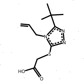 C=CCn1c(SCC(=O)O)nnc1C(C)(C)C